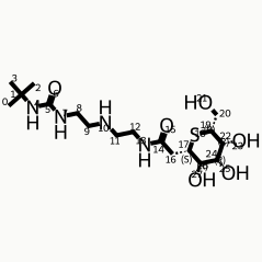 CC(C)(C)NC(=O)NCCNCCNC(=O)C[C@@H]1S[C@H](CO)[C@H](O)[C@H](O)[C@H]1O